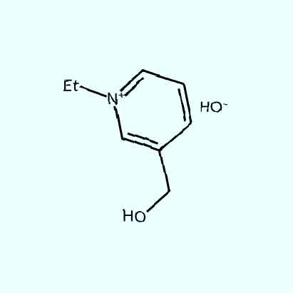 CC[n+]1cccc(CO)c1.[OH-]